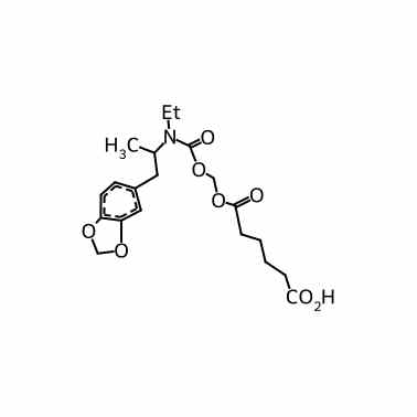 CCN(C(=O)OCOC(=O)CCCCC(=O)O)C(C)Cc1ccc2c(c1)OCO2